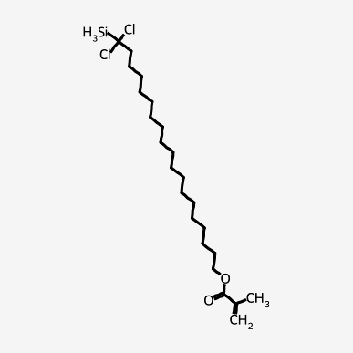 C=C(C)C(=O)OCCCCCCCCCCCCCCCCCCC([SiH3])(Cl)Cl